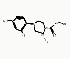 C[C@@H]1CN(c2ccc(N)cc2Cl)CCN1C(=O)OC(C)(C)C